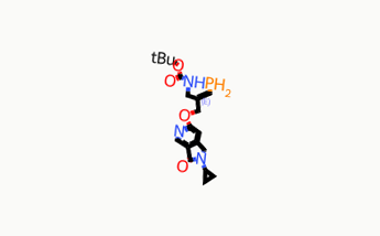 CC(C)(C)OC(=O)NC/C(=C\P)COc1cc2c(cn1)C(=O)N(C1CC1)C2